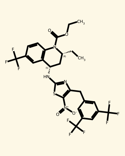 CCOC(=O)N1c2ccc(C(F)(F)F)cc2[C@@H](Nc2nc(Cc3cc(C(F)(F)F)cc(C(F)(F)F)c3)c([N+](=O)[O-])s2)C[C@H]1CC